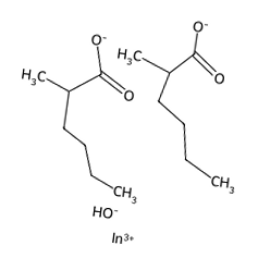 CCCCC(C)C(=O)[O-].CCCCC(C)C(=O)[O-].[In+3].[OH-]